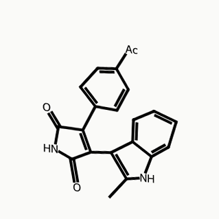 CC(=O)c1ccc(C2=C(c3c(C)[nH]c4ccccc34)C(=O)NC2=O)cc1